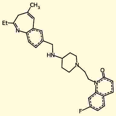 CCC1=Nc2ccc(CNC3CCN(CCn4c(=O)ccc5ccc(F)cc54)CC3)cc2C=C(C)C1